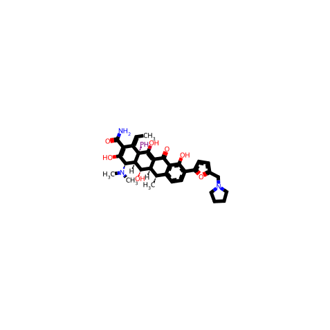 CC=C1C(C(N)=O)=C(O)[C@@H](N(C)C)[C@@H]2[C@@H](O)[C@H]3C(=C(O)[C@]12P)C(=O)c1c(ccc(-c2ccc(CN4CCCC4)o2)c1O)[C@@H]3C